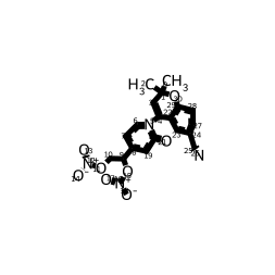 CC1(C)C=C(n2ccc(C(CO[N+](=O)[O-])O[N+](=O)[O-])cc2=O)c2cc(C#N)ccc2O1